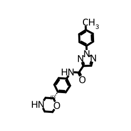 Cc1ccc(-n2ncc(C(=O)Nc3ccc([C@H]4CNCCO4)cc3)n2)cc1